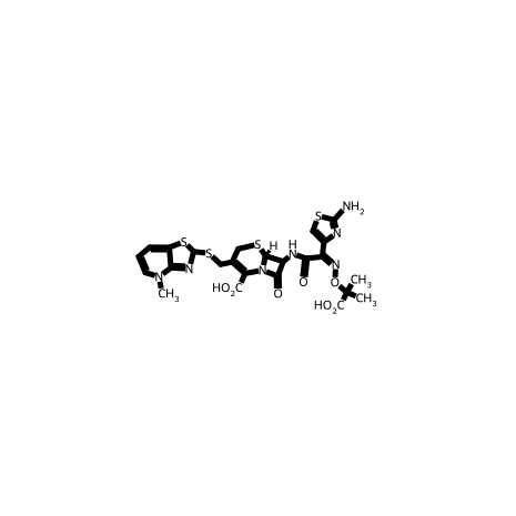 CN1C=CC=C2SC(SCC3=C(C(=O)O)N4C(=O)C(NC(=O)/C(=N\OC(C)(C)C(=O)O)c5csc(N)n5)[C@H]4SC3)N=C21